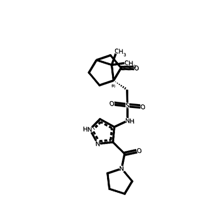 CC1(C)C2CC[C@]1(CS(=O)(=O)Nc1c[nH]nc1C(=O)N1CCCC1)C(=O)C2